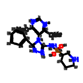 COc1ncnc(OC)c1-n1c(NS(=O)(=O)C2CCCNC2)nnc1-c1ccccc1